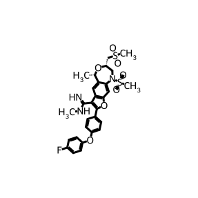 CNC(=N)c1c(-c2ccc(Oc3ccc(F)cc3)cc2)oc2cc3c(cc12)[C@H](C)O[C@H](CS(C)(=O)=O)CN3S(C)(=O)=O